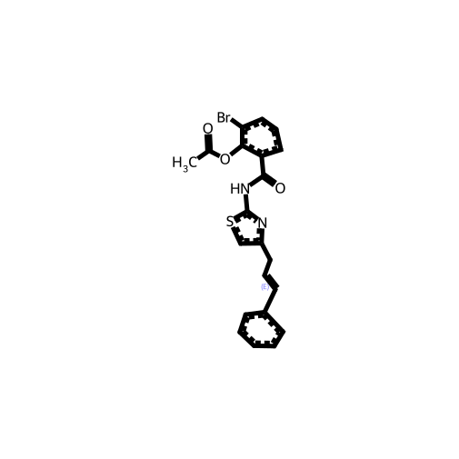 CC(=O)Oc1c(Br)cccc1C(=O)Nc1nc(C/C=C/c2ccccc2)cs1